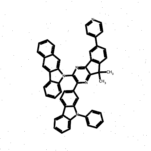 CC1(C)c2ccc(-c3ccncc3)cc2-c2nc(-n3c4ccccc4c4cc5ccccc5cc43)c(-c3ccc4c5ccccc5n(-c5ccccc5)c4c3)nc21